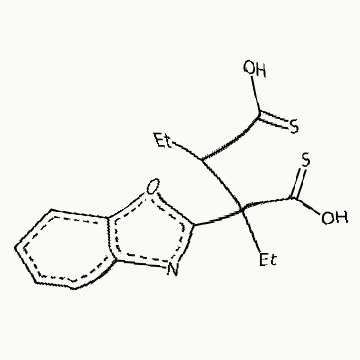 CCC(C(O)=S)C(CC)(C(O)=S)c1nc2ccccc2o1